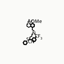 COc1ccc(CCN(C)CCCC(C#N)(Sc2ccccc2)c2cccc(C(F)(F)F)c2)c2c1N(C(C)=O)CCC2